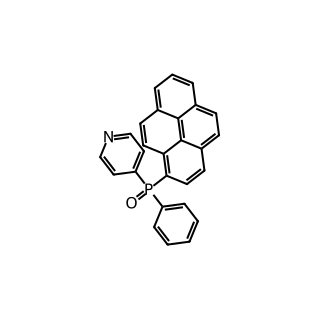 O=P(c1ccccc1)(c1ccncc1)c1ccc2ccc3cccc4ccc1c2c34